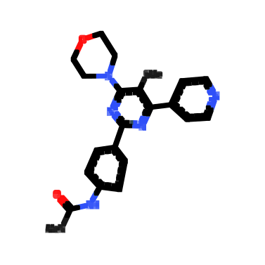 CNC(=O)Nc1ccc(-c2nc(-c3ccncc3)c(SC)c(N3CCOCC3)n2)cc1